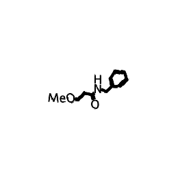 COCCC(=O)NCc1ccccc1